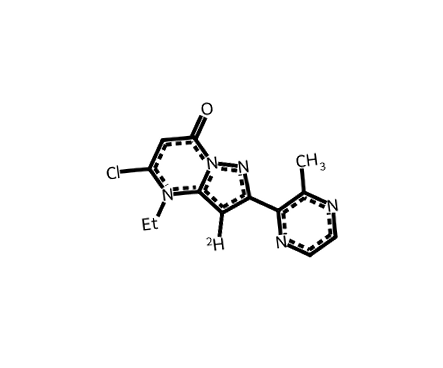 [2H]c1c(-c2nccnc2C)nn2c(=O)cc(Cl)n(CC)c12